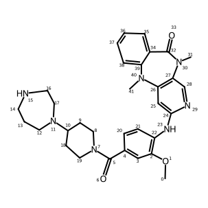 COc1cc(C(=O)N2CCC(N3CCCNCC3)CC2)ccc1Nc1cc2c(cn1)N(C)C(=O)c1ccccc1N2C